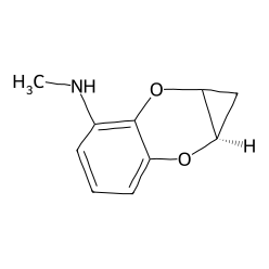 CNc1cccc2c1OC1C[C@H]1O2